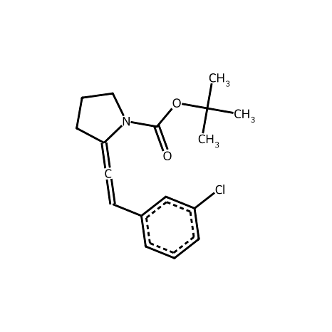 CC(C)(C)OC(=O)N1CCCC1=C=Cc1cccc(Cl)c1